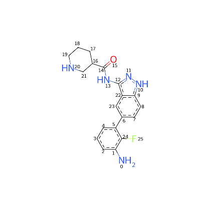 Nc1cccc(-c2ccc3[nH]nc(NC(=O)C4CCCNC4)c3c2)c1F